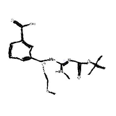 CN/C(=N\C(=O)OC(C)(C)C)N[C@H](CCOC)c1cccc(C(=O)O)c1